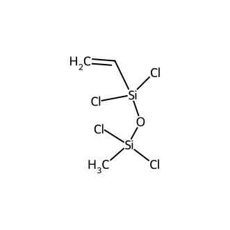 C=C[Si](Cl)(Cl)O[Si](C)(Cl)Cl